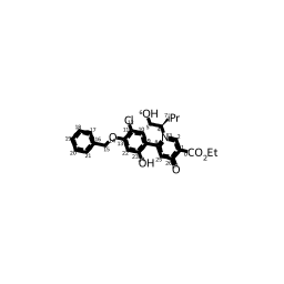 CCOC(=O)c1cn([C@@H](CO)C(C)C)c(-c2cc(Cl)c(OCc3ccccc3)cc2O)cc1=O